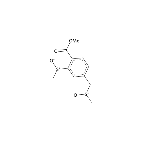 COC(=O)c1ccc(C[S+](C)[O-])cc1[S+](C)[O-]